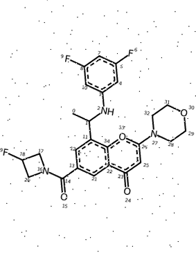 CC(Nc1cc(F)cc(F)c1)c1cc(C(=O)N2CC(F)C2)cc2c(=O)cc(N3CCOCC3)oc12